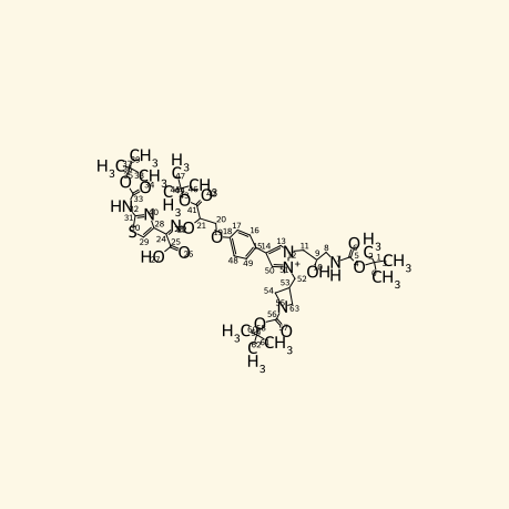 CC(C)(C)OC(=O)NCC(O)Cn1cc(-c2ccc(OCC(ON=C(C(=O)O)c3csc(NC(=O)OC(C)(C)C)n3)C(=O)OC(C)(C)C)cc2)c[n+]1CC1CN(C(=O)OC(C)(C)C)C1